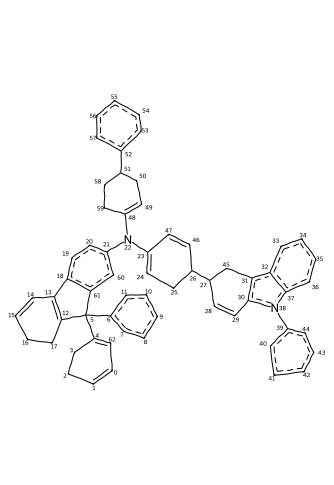 C1=CCCC(C2(c3ccccc3)C3=C(C=CCC3)c3ccc(N(C4=CCC(C5C=Cc6c(c7ccccc7n6-c6ccccc6)C5)C=C4)C4=CCC(c5ccccc5)CC4)cc32)=C1